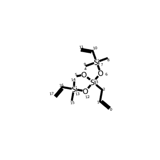 C=CC[Si](OC)(O[Si](C)(C)C=C)O[Si](C)(C)C=C